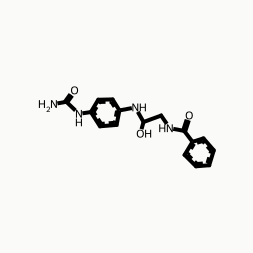 NC(=O)Nc1ccc(NC(O)CNC(=O)c2ccccc2)cc1